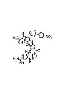 C[C@@H](O)[C@H]1C(=O)N2C(C(=O)OC(=O)c3ccc([N+](=O)[O-])cc3)=C(S[C@H]3CC(C(=O)N4CC[C@H](NC(=O)CNC(=N)N)C4)N(C)C3)[C@H](C)[C@H]12